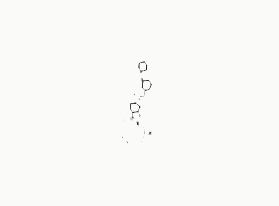 CC(=O)NC(=O)CCCN1Cc2cc(NCc3cccc(Oc4ccccc4)c3)ccc2C1=O